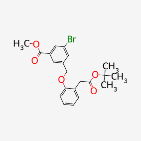 COC(=O)c1cc(Br)cc(COc2ccccc2CC(=O)OC(C)(C)C)c1